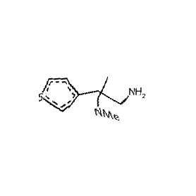 CNC(C)(CN)c1ccsc1